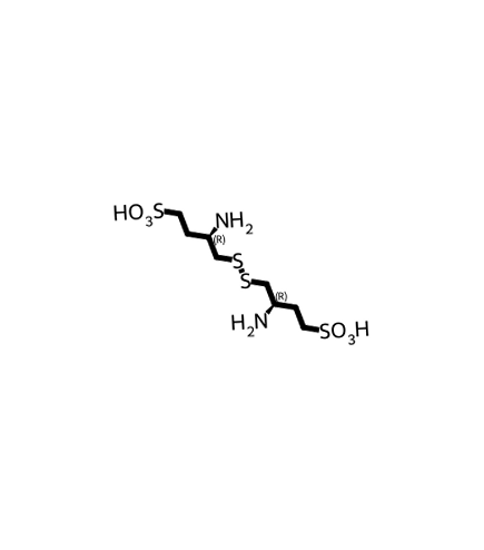 N[C@H](CCS(=O)(=O)O)CSSC[C@H](N)CCS(=O)(=O)O